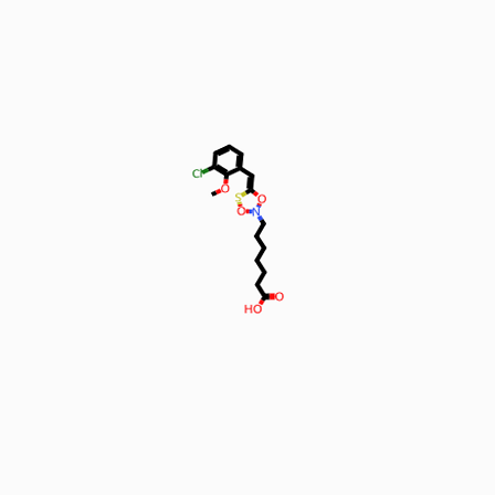 COc1c(Cl)cccc1C=C1ON(CCCCCCC(=O)O)OS1